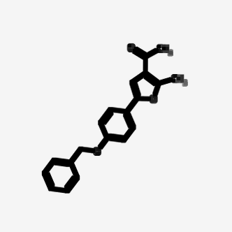 CC(=O)c1cc(-c2ccc(OCc3ccccc3)cc2)oc1C